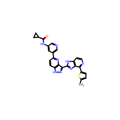 Cc1ccc(-c2nccc3[nH]c(-c4n[nH]c5ccc(-c6cncc(NC(=O)C7CC7)c6)nc45)nc23)s1